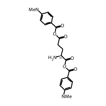 CNc1ccc(C(=O)OC(=O)CC[C@H](N)C(=O)OC(=O)c2ccc(NC)cc2)cc1